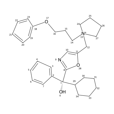 O[C@](c1ccccc1)(c1ncc(C[N+]2(CCCOc3ccccc3)CCCC2)o1)C1CCCCC1